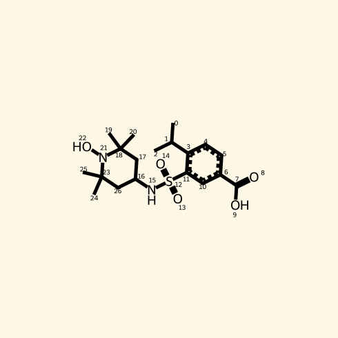 CC(C)c1ccc(C(=O)O)cc1S(=O)(=O)NC1CC(C)(C)N(O)C(C)(C)C1